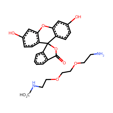 NCCOCCOCCNC(=O)O.O=C1OC2(c3ccc(O)cc3Oc3cc(O)ccc32)c2ccccc21